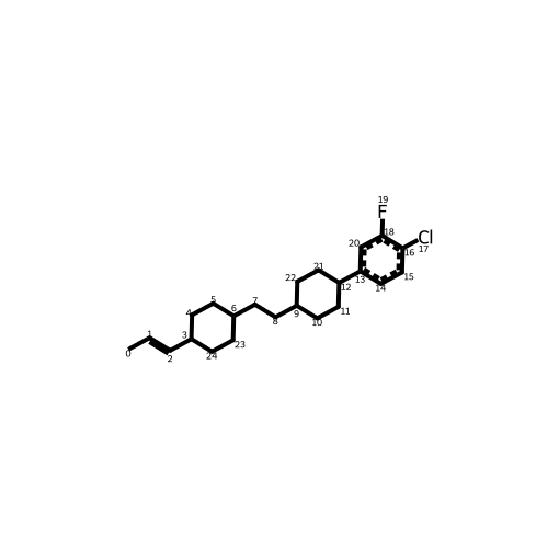 CC=CC1CCC(CCC2CCC(c3ccc(Cl)c(F)c3)CC2)CC1